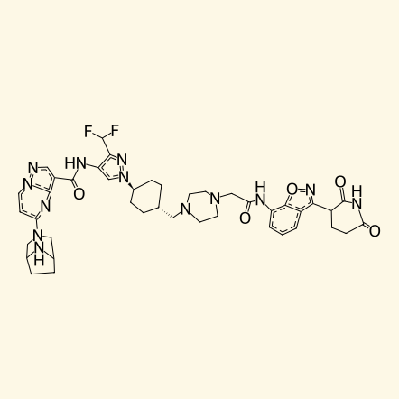 O=C1CCC(c2noc3c(NC(=O)CN4CCN(C[C@H]5CC[C@H](n6cc(NC(=O)c7cnn8ccc(N9CC%10CCC(C9)N%10)nc78)c(C(F)F)n6)CC5)CC4)cccc23)C(=O)N1